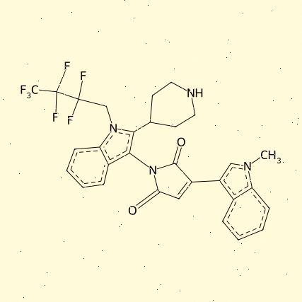 Cn1cc(C2=CC(=O)N(c3c(C4CCNCC4)n(CC(F)(F)C(F)(F)C(F)(F)F)c4ccccc34)C2=O)c2ccccc21